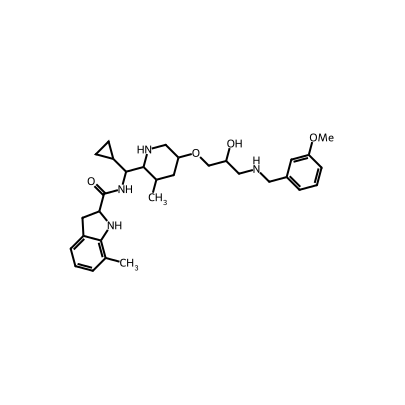 COc1cccc(CNCC(O)COC2CNC(C(NC(=O)C3Cc4cccc(C)c4N3)C3CC3)C(C)C2)c1